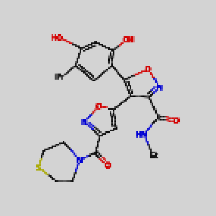 CCNC(=O)c1noc(-c2cc(C(C)C)c(O)cc2O)c1-c1cc(C(=O)N2CCSCC2)no1